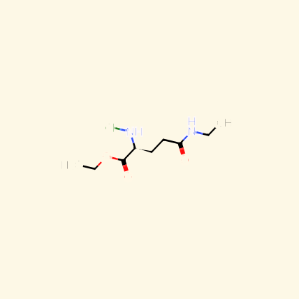 CCNC(=O)CC[C@H](NCl)C(=O)OCC